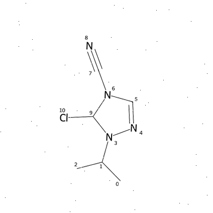 CC(C)N1N=CN(C#N)C1Cl